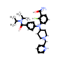 CC(C)N(C(=O)c1ccc(N(c2cccc(C(N)=O)c2F)C2CCN(Cc3ccccn3)CC2)cc1)C(C)C